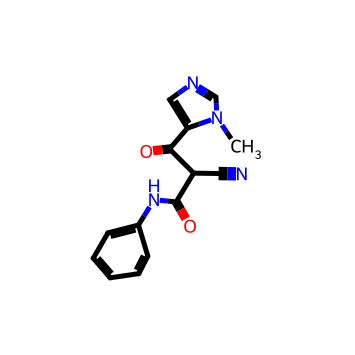 Cn1cncc1C(=O)C(C#N)C(=O)Nc1ccccc1